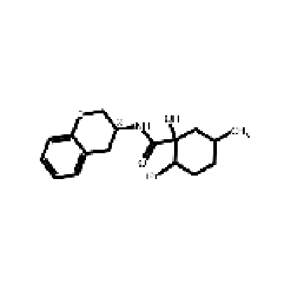 CC1CCC(C(C)C)C(O)(C(=O)N[C@@H]2COc3ccccc3C2)C1